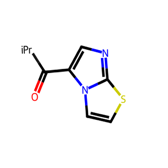 CC(C)C(=O)c1cnc2sccn12